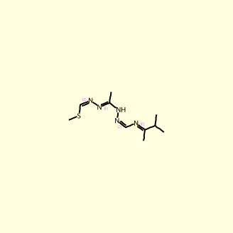 CS/C=N\N=C(/C)N/N=C\N=C(/C)C(C)C